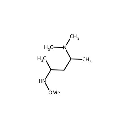 CONC(C)CC(C)N(C)C